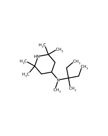 CCC(C)(CC)N(C)C1CC(C)(C)NC(C)(C)C1